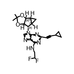 CC1(C)O[C@@H]2[C@@H]3C[C@@H]3[C@@H](n3cnc4c(NCC(F)F)nc(C#CC5CC5)nc43)[C@@H]2O1